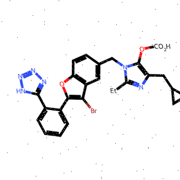 CCc1nc(CC2CC2)c(OC(=O)O)n1Cc1ccc2oc(-c3ccccc3-c3nnn[nH]3)c(Br)c2c1